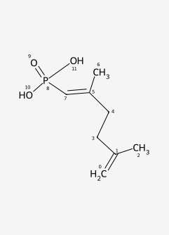 C=C(C)CCC(C)=CP(=O)(O)O